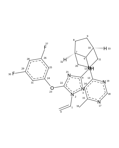 C=Cn1nc(NC2[C@@H]3CC[C@H]2CN(c2cc(C)ncn2)C3)nc1Oc1cc(F)cc(F)c1